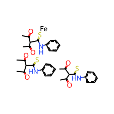 CC(=O)C(C(C)=O)C(=S)Nc1ccccc1.CC(=O)C(C(C)=O)C(=S)Nc1ccccc1.CC(=O)C(C(C)=O)C(=S)Nc1ccccc1.[Fe]